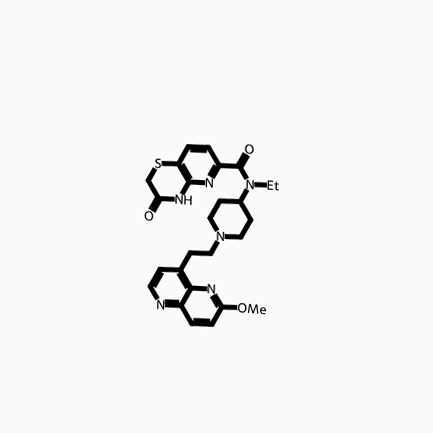 CCN(C(=O)c1ccc2c(n1)NC(=O)CS2)C1CCN(CCc2ccnc3ccc(OC)nc23)CC1